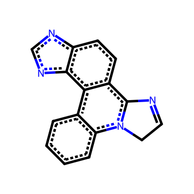 C1=Nc2c3ccc4ncnc4c3c3ccccc3n2C1